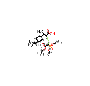 C/C(=C(/F)C(=O)O)c1ccc(C(C)(C)C)cc1.CCOC(=O)C(F)P(=O)(OCC)OCC